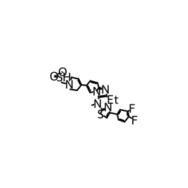 CCc1nc2ccc(C3=CCN(C[SH](=O)=O)CC3)cn2c1N(C)c1nc(-c2ccc(F)c(F)c2)cs1